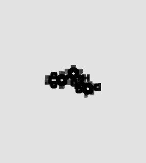 Clc1ccc2onc(Nc3cccc(-c4ccc5c(c4)OCCO5)c3Cl)c2c1